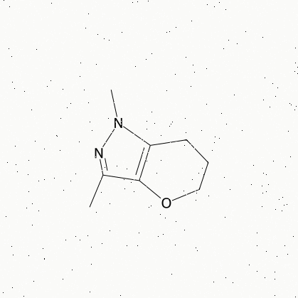 Cc1nn(C)c2c1OCCC2